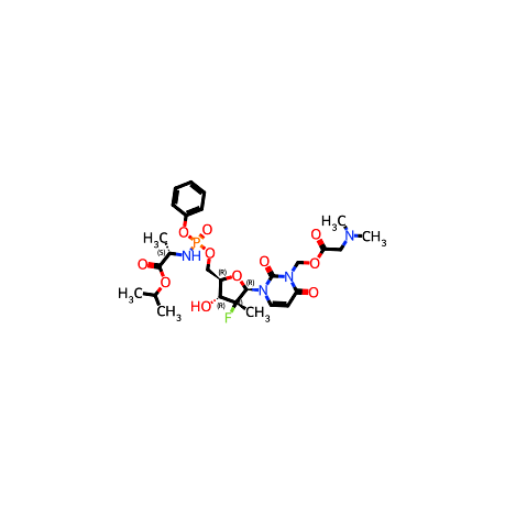 CC(C)OC(=O)[C@H](C)NP(=O)(OC[C@H]1O[C@@H](n2ccc(=O)n(COC(=O)CN(C)C)c2=O)[C@](C)(F)[C@@H]1O)Oc1ccccc1